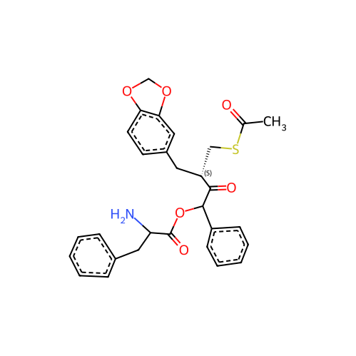 CC(=O)SC[C@@H](Cc1ccc2c(c1)OCO2)C(=O)C(OC(=O)C(N)Cc1ccccc1)c1ccccc1